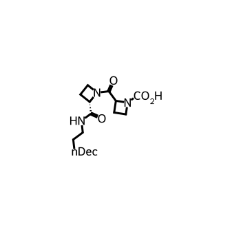 CCCCCCCCCCCCNC(=O)[C@@H]1CCN1C(=O)C1CCN1C(=O)O